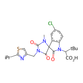 CC(C)c1nc(CN2C(=O)N(C)C3(C2=O)C(=O)N(C(C(=O)O)C(C)(C)C)c2ccc(Cl)cc23)cs1